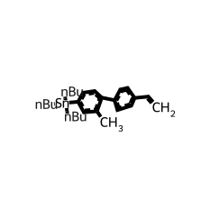 C=Cc1ccc(-c2cc[c]([Sn]([CH2]CCC)([CH2]CCC)[CH2]CCC)cc2C)cc1